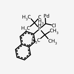 CC(C)(C)[PH](c1ccc2ccccc2c1)([CH](Cl)[Pd])C(C)(C)C